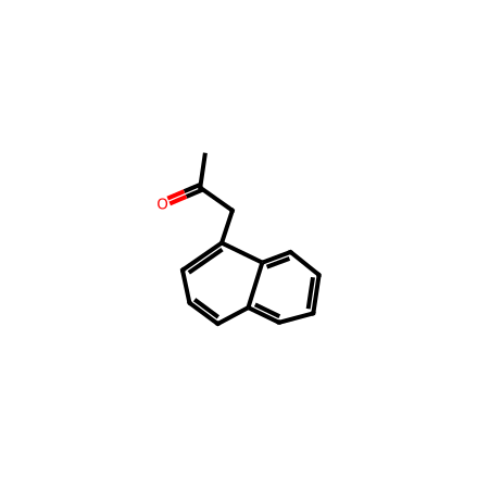 CC(=O)Cc1cccc2ccccc12